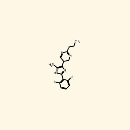 CCOC1=NCC(c2nc(-c3c(F)cccc3Cl)[nH]c2N)C=N1